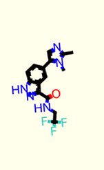 Cc1ncc(-c2ccc3[nH]nc(C(=O)NCC(F)(F)F)c3c2)n1C